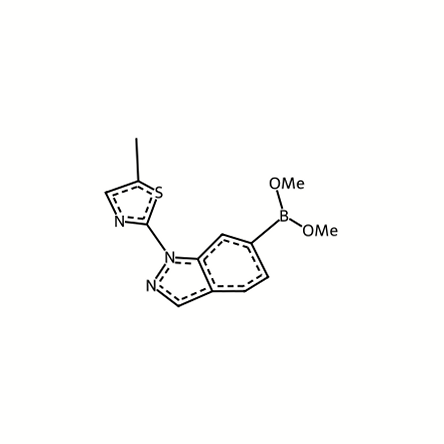 COB(OC)c1ccc2cnn(-c3ncc(C)s3)c2c1